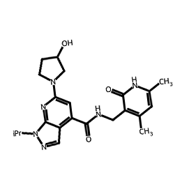 Cc1cc(C)c(CNC(=O)c2cc(N3CCC(O)C3)nc3c2cnn3C(C)C)c(=O)[nH]1